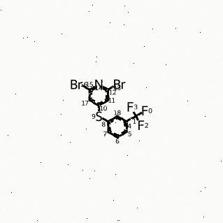 FC(F)(F)c1cccc(Sc2cc(Br)nc(Br)c2)c1